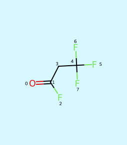 O=C(F)CC(F)(F)F